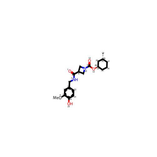 COc1cc(CNC(=O)C2CN(C(=O)O[C@@H]3CCC[C@@H](C)C3)C2)ccc1O